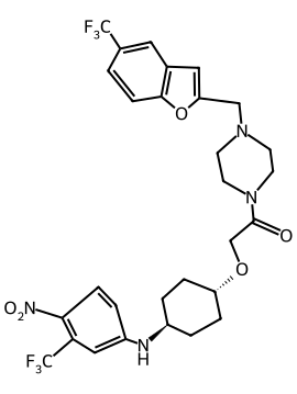 O=C(CO[C@H]1CC[C@H](Nc2ccc([N+](=O)[O-])c(C(F)(F)F)c2)CC1)N1CCN(Cc2cc3cc(C(F)(F)F)ccc3o2)CC1